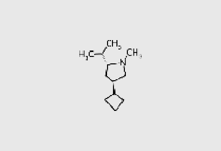 CC(C)[C@H]1C[C@H](C2CCC2)CN1C